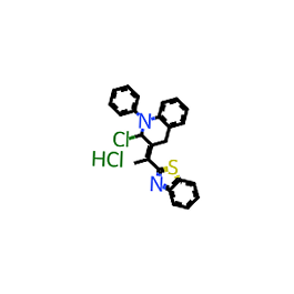 CC(=C1Cc2ccccc2N(c2ccccc2)C1Cl)c1nc2ccccc2s1.Cl